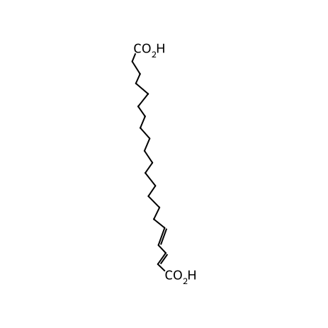 O=C(O)C=CC=CCCCCCCCCCCCCCCCC(=O)O